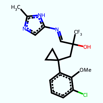 COc1c(Cl)cccc1C1(CC(O)(C=Nc2cnc(C)[nH]2)C(F)(F)F)CC1